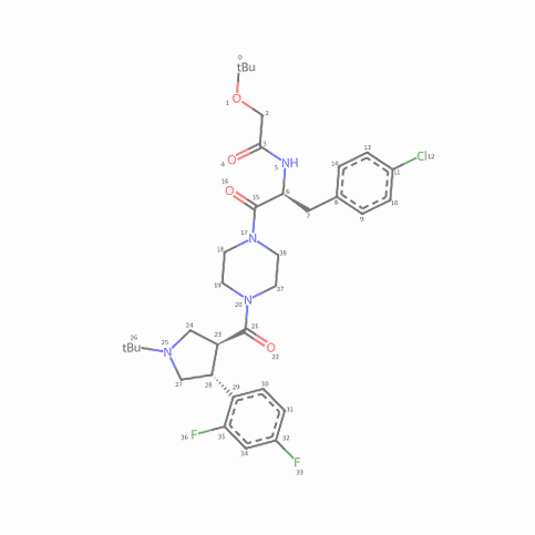 CC(C)(C)OCC(=O)N[C@@H](Cc1ccc(Cl)cc1)C(=O)N1CCN(C(=O)[C@@H]2CN(C(C)(C)C)C[C@H]2c2ccc(F)cc2F)CC1